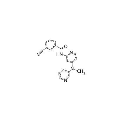 CN(c1cncnc1)c1ccnc(NC(=O)c2cccc(C#N)c2)c1